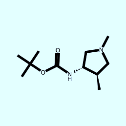 C[C@@H]1CN(C)C[C@H]1NC(=O)OC(C)(C)C